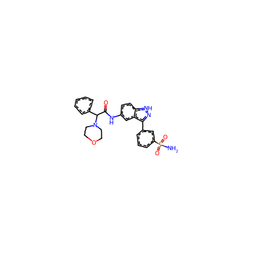 NS(=O)(=O)c1cccc(-c2n[nH]c3ccc(NC(=O)C(c4ccccc4)N4CCOCC4)cc23)c1